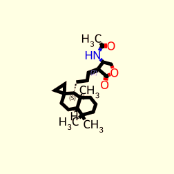 CC(=O)NC1COC(=O)/C1=C\CC[C@H]1C2(CC[C@H]3C(C)(C)CCC[C@@]31C)CC2